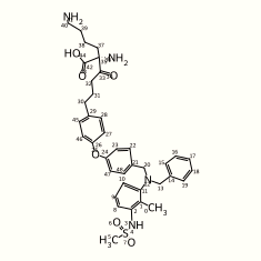 Cc1c(NS(C)(=O)=O)cccc1N(Cc1ccccc1)Cc1ccc(Oc2ccc(CCCC(=O)[C@](N)(CCCCN)C(=O)O)cc2)cc1